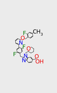 Cc1ccc(COc2cccc(-c3cc(F)c(Cc4nc5ccc(C(=O)O)cc5n4CC4CCCCO4)cc3F)n2)c(F)c1